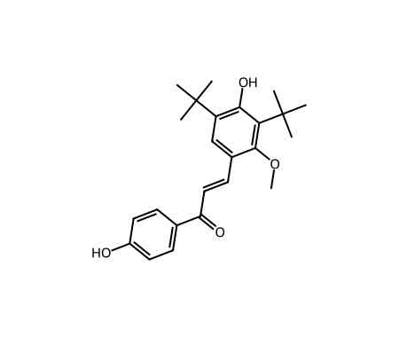 COc1c(C=CC(=O)c2ccc(O)cc2)cc(C(C)(C)C)c(O)c1C(C)(C)C